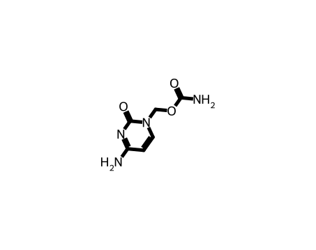 NC(=O)OCn1ccc(N)nc1=O